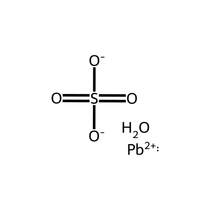 O.O=S(=O)([O-])[O-].[Pb+2]